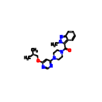 CC(C)COc1cc(N2CCN(C(=O)c3c4ccccc4nn3C)CC2)ncn1